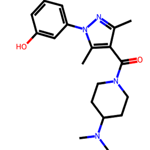 Cc1nn(-c2cccc(O)c2)c(C)c1C(=O)N1CCC(N(C)C)CC1